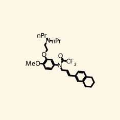 CCCN(CCC)CCOc1cc(N(C/C=C/c2ccc3c(c2)CCCC3)C(=O)C(F)(F)F)ccc1OC